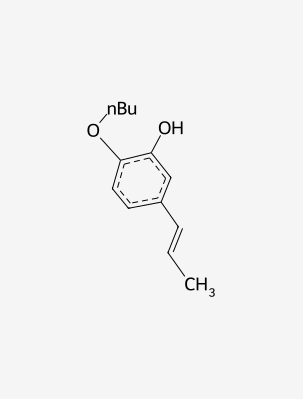 CC=Cc1ccc(OCCCC)c(O)c1